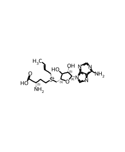 CC=CC[S@@+](CC[C@H](N)C(=O)O)C[C@H]1O[C@@H](n2cnc3c(N)ncnc32)[C@@H](O)C1O